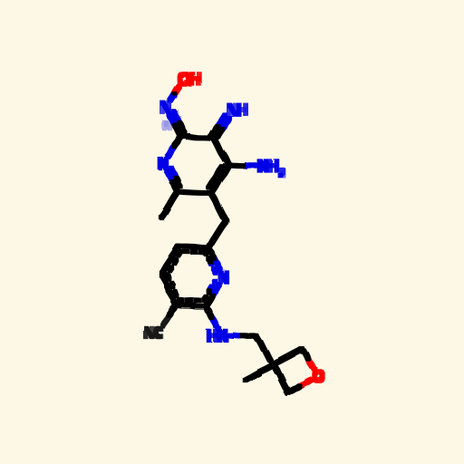 CC1=N/C(=N/O)C(=N)C(N)=C1Cc1ccc(C#N)c(NCC2(C)COC2)n1